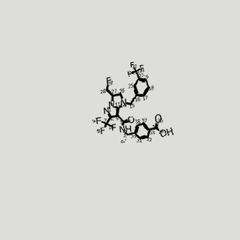 C[C@H](NC(=O)c1c(C(F)(F)F)nn2c1N(Cc1cccc(C(F)(F)F)c1)CC2CF)c1ccc(C(=O)O)cc1